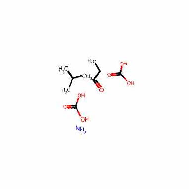 CC(C)C.CCC=O.N.O=C(O)O.O=C(O)O